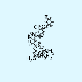 C=C(CCC(=O)N(CCCN(C)C)c1ccc2ncnc(Nc3ccc(OCc4cccc(F)c4)c(Cl)c3)c2c1)C(N)=O